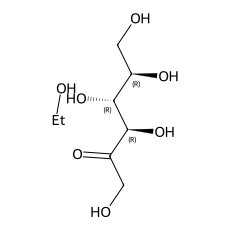 CCO.O=C(CO)[C@H](O)[C@H](O)[C@H](O)CO